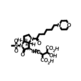 CCC[C@H]1C(=O)N(S(C)(=O)=O)[C@H]2CCN(C(=O)CCCCCN3CCOCC3)[C@H]12.O=C(O)C(O)C(O)C(=O)O